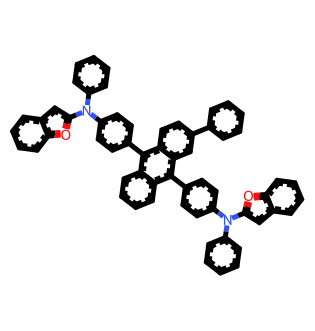 c1ccc(-c2ccc3c(-c4ccc(N(c5ccccc5)c5cc6ccccc6o5)cc4)c4ccccc4c(-c4ccc(N(c5ccccc5)c5cc6ccccc6o5)cc4)c3c2)cc1